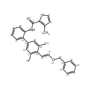 Cc1ccsc1C(=O)Nc1ccccc1-c1cc(F)c(/C=N/OCc2ccccc2)c(F)c1